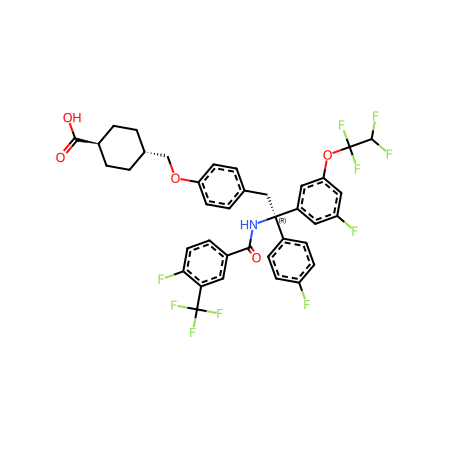 O=C(N[C@](Cc1ccc(OC[C@H]2CC[C@H](C(=O)O)CC2)cc1)(c1ccc(F)cc1)c1cc(F)cc(OC(F)(F)C(F)F)c1)c1ccc(F)c(C(F)(F)F)c1